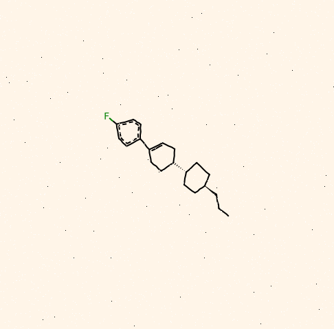 CCC[C@H]1CC[C@H](C2CC=C(c3ccc(F)cc3)CC2)CC1